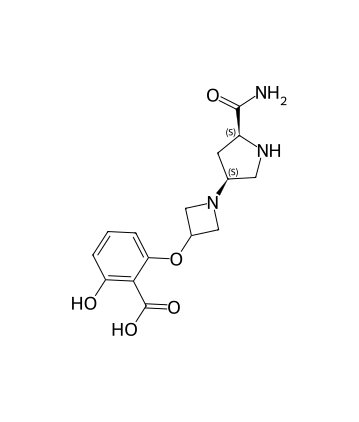 NC(=O)[C@@H]1C[C@H](N2CC(Oc3cccc(O)c3C(=O)O)C2)CN1